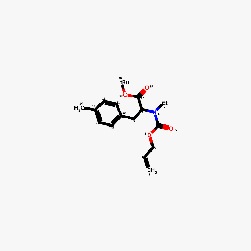 C=CCOC(=O)N(CC)C(Cc1ccc(C)cc1)C(=O)OC(C)(C)C